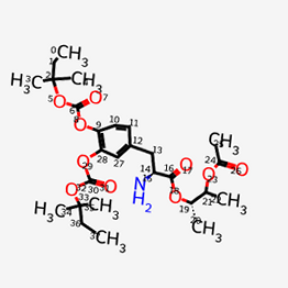 CCC(C)(C)OC(=O)Oc1ccc(C[C@H](N)C(=O)O[C@@H](C)C(C)OC(C)=O)cc1OC(=O)OC(C)(C)CC